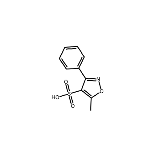 Cc1onc(-c2ccccc2)c1S(=O)(=O)O